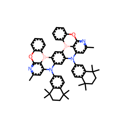 Cc1cc2c3c(n1)Oc1ccccc1B3c1cc3c(cc1N2c1ccc2c(c1)C(C)(C)CCC2(C)C)N(c1ccc2c(c1)C(C)(C)CCC2(C)C)c1cc(C)nc2c1B3c1ccccc1O2